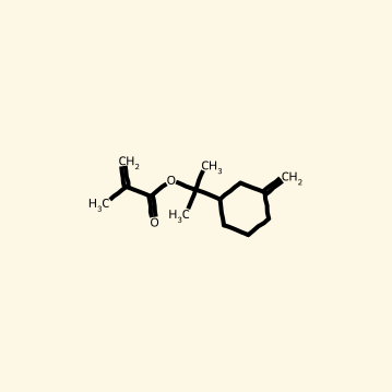 C=C1CCCC(C(C)(C)OC(=O)C(=C)C)C1